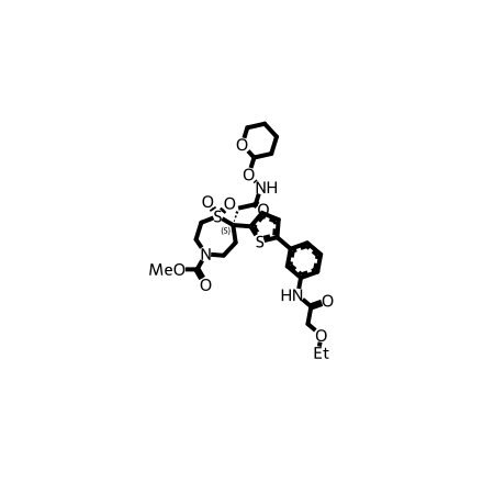 CCOCC(=O)Nc1cccc(-c2ccc([C@@]3(CC(=O)NOC4CCCCO4)CCN(C(=O)OC)CCS3(=O)=O)s2)c1